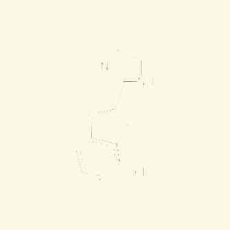 Clc1cccc2c1CC(C1=NCCN1)O2